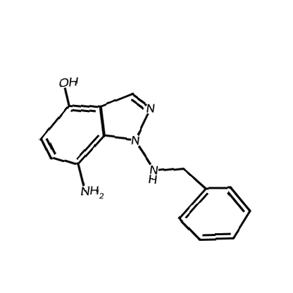 Nc1ccc(O)c2cnn(NCc3ccccc3)c12